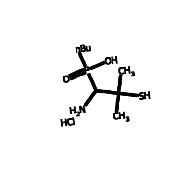 CCCCP(=O)(O)C(N)C(C)(C)S.Cl